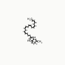 C=C(O)[C@H](CC(C)C)NC(=O)CCC/C=C\C/C=C\C/C=C\C/C=C\C/C=C\CC